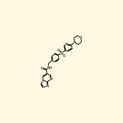 O=C(NCc1ccc(S(=O)(=O)c2ccc(N3CCOCC3)nc2)cc1)c1cnc2nccn2c1